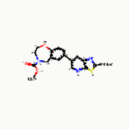 CC(=O)Nc1nc2cc(-c3ccc4c(c3)CN(C(=O)OC(C)(C)C)CCO4)cnc2s1